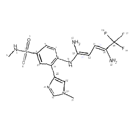 CNS(=O)(=O)c1ccc(N/C(N)=C/C=C(\N)C(F)(F)F)c(-c2cn(C)cn2)c1